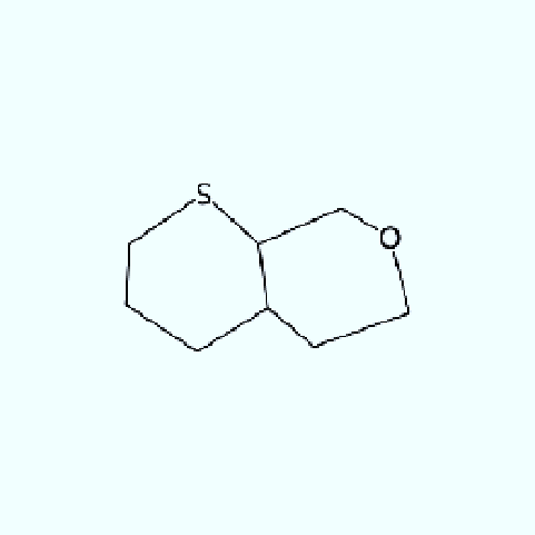 C1CSC2COCCC2C1